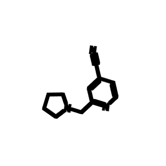 N#Cc1ccnc(CN2CCCC2)c1